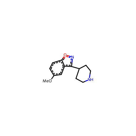 COc1ccc2onc(C3CCNCC3)c2c1